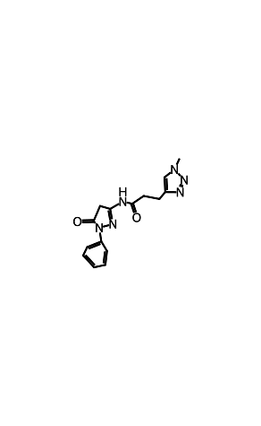 Cn1cc(CCC(=O)NC2=NN(c3ccccc3)C(=O)C2)nn1